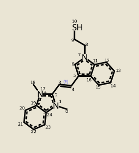 Cn1c(/C=C/c2cn(CCS)c3ccccc23)[n+](C)c2ccccc21